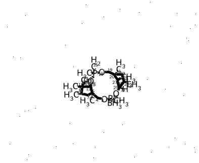 [BH3-][P+]1(C)OC[C@@]2(C)C[C@@H](C)C(C)(C)[C@@H]2OP(=C)(C)OC[C@@]2(C)C[C@@H](C)[C@H](O1)C2(C)C